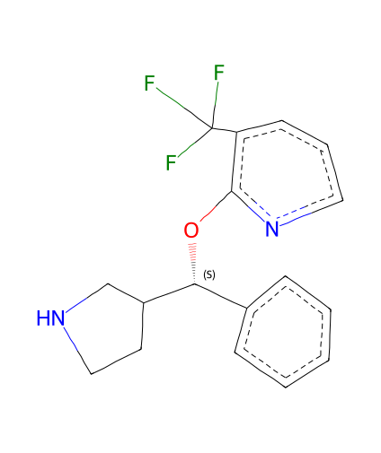 FC(F)(F)c1cccnc1O[C@H](c1ccccc1)C1CCNC1